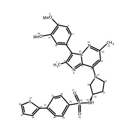 COc1ccc(-c2c(C)nc3c(N4CC[C@@H](NS(=O)(=O)c5ccc(-c6cccs6)cc5)C4)cc(C)nn23)cc1OC